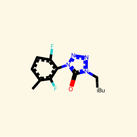 CCC(C)Cn1nnn(-c2c(F)ccc(C)c2F)c1=O